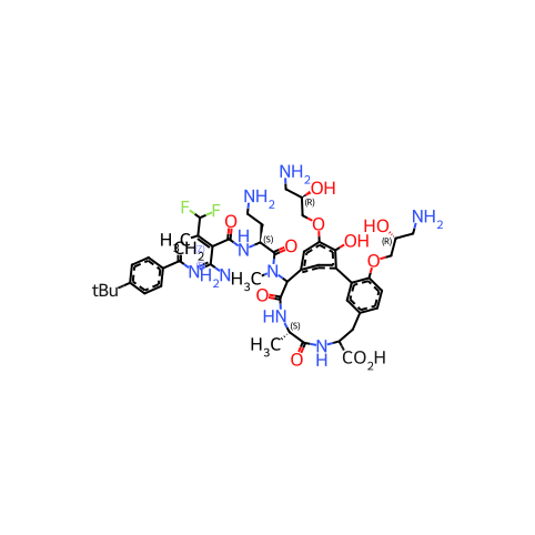 C=C(/N=C(N)\C(C(=O)N[C@@H](CCN)C(=O)N(C)C1C(=O)N[C@@H](C)C(=O)NC(C(=O)O)Cc2ccc(OC[C@H](O)CN)c(c2)-c2cc1cc(OC[C@H](O)CN)c2O)=C(/C)C(F)F)c1ccc(C(C)(C)C)cc1